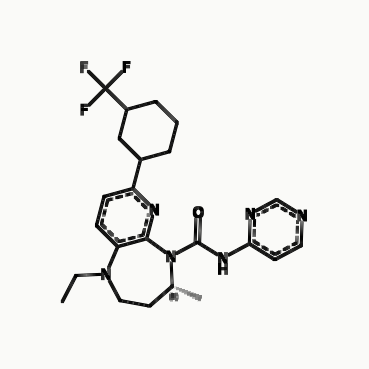 CCN1CC[C@@H](C)N(C(=O)Nc2ccncn2)c2nc(C3CCCC(C(F)(F)F)C3)ccc21